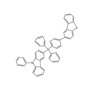 c1ccc(-n2c3ccccc3c3cc([Si](c4ccccc4)(c4ccccc4)c4ccc(-c5ccc6sc7ccccc7c6c5)cc4)ccc32)cc1